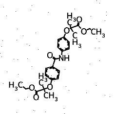 CCOC(=O)C(C)(C)Oc1ccc(NC(=O)c2ccc(OC(C)(C)C(=O)OCC)cc2)cc1